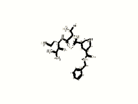 CC(C)C(=O)[C@H](CCN)NC(=O)[C@@H](NC(=O)C1CNCC(C(=O)NCc2ccccc2)C1)[C@H](C)O